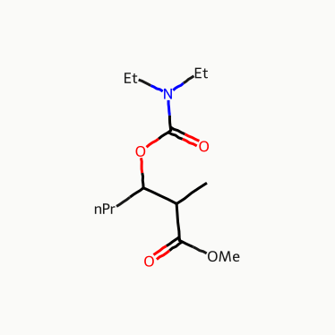 CCCC(OC(=O)N(CC)CC)C(C)C(=O)OC